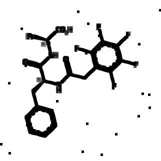 CC(C)[C@H](NC(=O)[C@H](Cc1ccccc1)NC(=O)Cc1c(F)c(F)c(F)c(F)c1F)C(=O)O